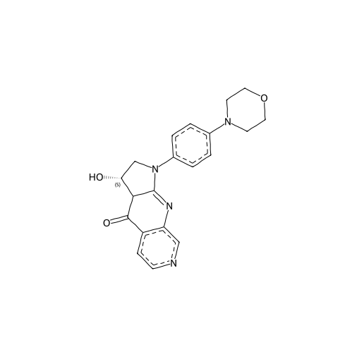 O=C1c2ccncc2N=C2C1[C@H](O)CN2c1ccc(N2CCOCC2)cc1